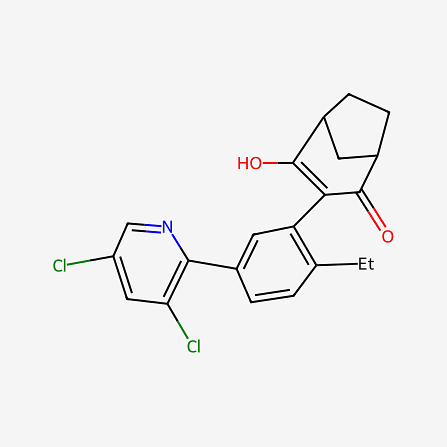 CCc1ccc(-c2ncc(Cl)cc2Cl)cc1C1=C(O)C2CCC(C2)C1=O